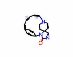 O=C1N=CC23C=CN(/C=C\C=C/C=C4C=CC(C=C4)N12)CC3